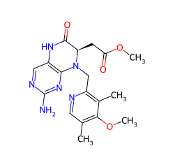 COC(=O)C[C@@H]1C(=O)Nc2cnc(N)nc2N1Cc1ncc(C)c(OC)c1C